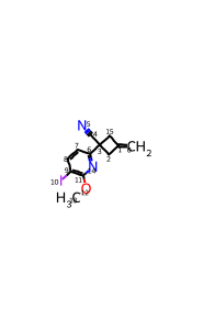 C=C1CC(C#N)(c2ccc(I)c(OC)n2)C1